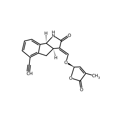 C#Cc1cccc2c1C[C@@H]1/C(=C\O[C@H]3C=C(C)C(=O)O3)C(=O)N[C@H]21